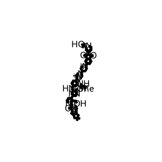 C=CC(=O)Nc1cc(Nc2nc(-c3ccnc(N4CCn5c(cc6c5CC(C)(C)C6)C4=O)c3CO)cnc2OC)ccc1N1CCN(C2CCN(c3ccc4c(c3)C(=O)N(c3ccnc(C(C)(C)O)c3)C4=O)[C@@H](C)C2)C[C@@H]1C